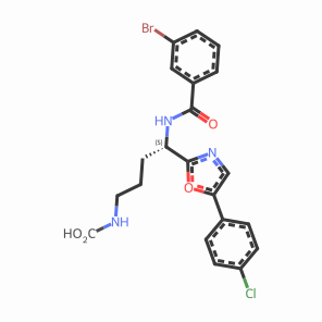 O=C(O)NCCC[C@H](NC(=O)c1cccc(Br)c1)c1ncc(-c2ccc(Cl)cc2)o1